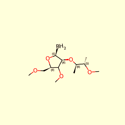 B[C@@H]1O[C@H](COC)C(OC)[C@@H]1O[C@H](C)[C@H](C)OC